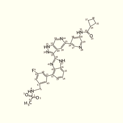 CS(=O)(=O)NCc1cc(F)cc(-c2cccc3[nH]c(-c4n[nH]c5cnc(-c6cncc(NC(=O)C7CCC7)c6)cc45)nc23)c1